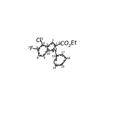 CCOC(=O)c1cc2c(Cl)c(F)ccc2n1-c1ccccc1